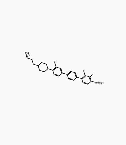 C=CCCC1CCC(c2ccc(-c3ccc(-c4ccc(CCCCCCC)c(F)c4F)cc3)cc2F)CC1